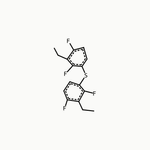 CCc1c(F)ccc(Sc2ccc(F)c(CC)c2F)c1F